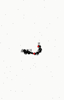 O=C1CCC(N2C(=O)c3ccc(NCCC[C@H]4C[C@H](n5cc(-c6cnc7ccc(N8CCNCC8)cc7n6)cn5)C4)cc3C2=O)C(=O)N1